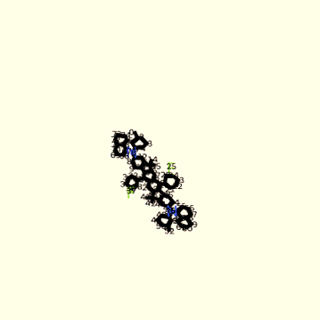 Cc1cccc(N(c2ccc3c(c2)C(C)(C)c2cc4c(-c5cccc(F)c5)c5c(cc4c(-c4cccc(F)c4)c2-3)C(C)(C)c2cc(N(c3cccc(C)c3)c3cccc4ccccc34)ccc2-5)c2cccc3ccccc23)c1